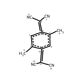 Cc1cc(=C(C#N)C#N)c(C)cc1=C(C#N)C#N